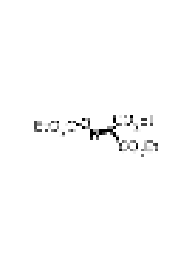 CCOC(=O)ON=C(C(=O)OCC)C(=O)OCC